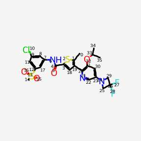 Cc1sc(C(=O)Nc2cc(Cl)cc(S(C)(=O)=O)c2)cc1-c1ncc(N2CC(F)(F)C2)cc1OC(C)C